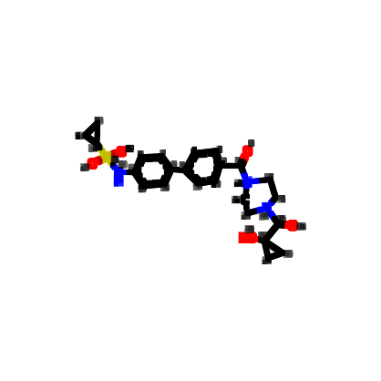 O=C(c1ccc(-c2ccc(NS(=O)(=O)C3CC3)cc2)cc1)N1CCN(C(=O)C2(O)CC2)CC1